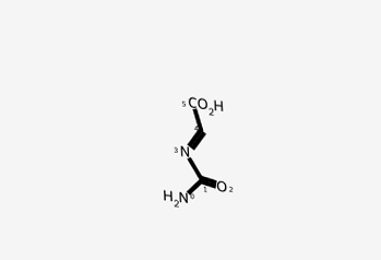 NC(=O)N=CC(=O)O